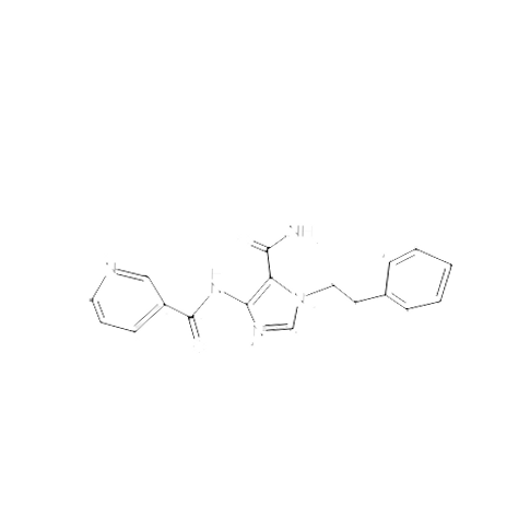 NC(=O)c1c(NC(=O)c2cccnc2)ncn1CCc1ccccc1